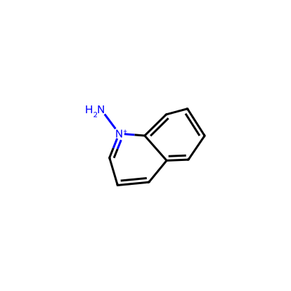 N[n+]1cccc2ccccc21